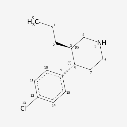 CCC[C@H]1CNCC[C@@H]1c1ccc(Cl)cc1